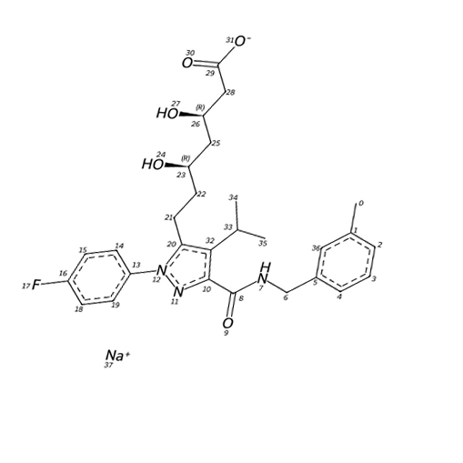 Cc1cccc(CNC(=O)c2nn(-c3ccc(F)cc3)c(CC[C@@H](O)C[C@@H](O)CC(=O)[O-])c2C(C)C)c1.[Na+]